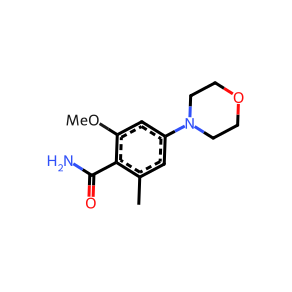 COc1cc(N2CCOCC2)cc(C)c1C(N)=O